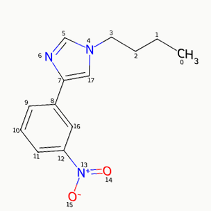 CCCCn1cnc(-c2cccc([N+](=O)[O-])c2)c1